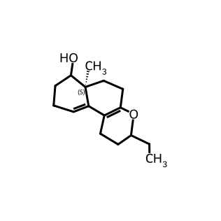 CCC1CCC2=C(CC[C@@]3(C)C2=CCCC3O)O1